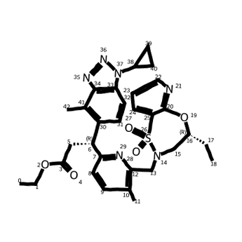 CCOC(=O)C[C@@H](c1ccc(C)c(CN2C[C@@H](CC)Oc3ncccc3S2(=O)=O)n1)c1ccc2c(nnn2C2CC2)c1C